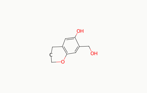 OCc1cc2c(cc1O)CCCO2